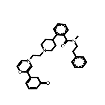 CN(CCc1ccccc1)C(=O)c1ccccc1C1CCN(CCN2C=COC(C3=CC=CC(=O)C3)=C2)CC1